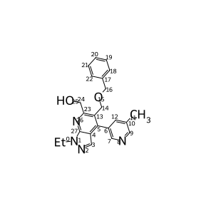 CCn1ncc2c(-c3cncc(C)c3)c(COCc3ccccc3)c(CO)nc21